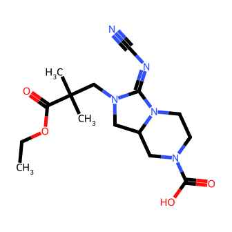 CCOC(=O)C(C)(C)CN1CC2CN(C(=O)O)CCN2C1=NC#N